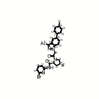 CC(=O)c1nn(CC(=O)N2C[C@H](F)C[C@H]2C(=O)Nc2cccc(Br)n2)c2ccc(-c3ccc(C)cc3)cc12